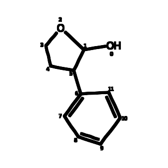 OC1OCCC1c1ccccc1